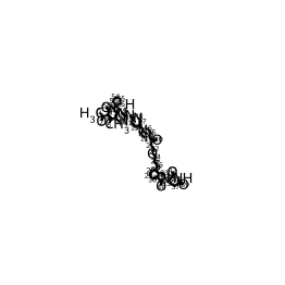 CC(=O)c1c(C)c2cnc(Nc3ccc(N4CCN(C(=O)CCOCCSc5cccc6c5CN(C5CCC(=O)NC5=O)C6=O)CC4)cn3)nc2n(C2CCCC2)c1=O